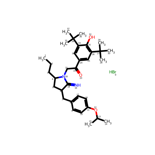 Br.CCCC1CC(Cc2ccc(OC(C)C)cc2)C(=N)N1CC(=O)c1cc(C(C)(C)C)c(O)c(C(C)(C)C)c1